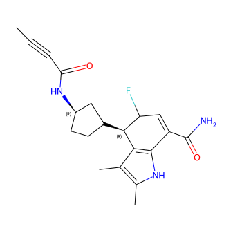 CC#CC(=O)N[C@@H]1CCC([C@@H]2c3c([nH]c(C)c3C)C(C(N)=O)=CC2F)C1